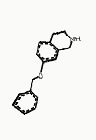 c1ccc(COc2ccc3c(c2)CNCC3)cc1